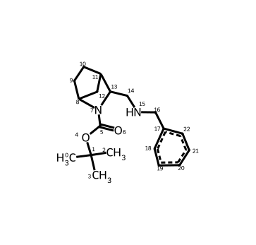 CC(C)(C)OC(=O)N1C2CCC(C2)C1CNCc1ccccc1